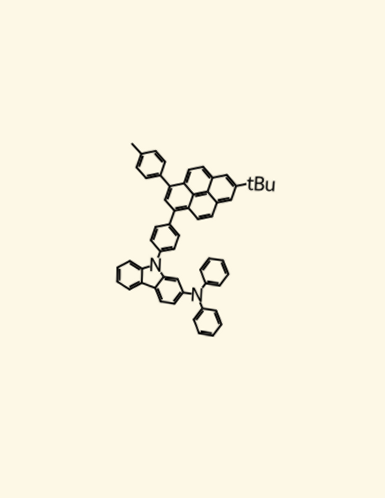 Cc1ccc(-c2cc(-c3ccc(-n4c5ccccc5c5ccc(N(c6ccccc6)c6ccccc6)cc54)cc3)c3ccc4cc(C(C)(C)C)cc5ccc2c3c54)cc1